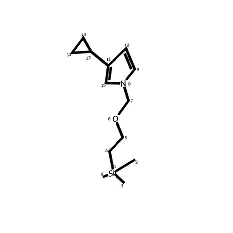 C[Si](C)(C)CCOCn1ccc(C2CC2)c1